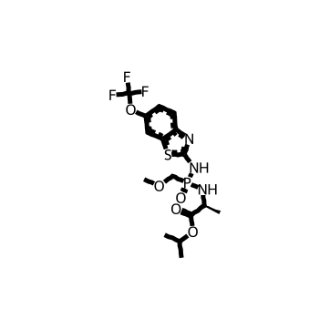 COCP(=O)(Nc1nc2ccc(OC(F)(F)F)cc2s1)N[C@@H](C)C(=O)OC(C)C